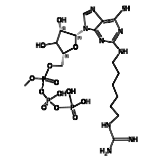 COP(=O)(OC[C@H]1O[C@@H](n2cnc3c(S)nc(NCCCCCCNC(=N)N)nc32)[C@@H](O)C1O)OP(=O)(O)OP(=O)(O)O